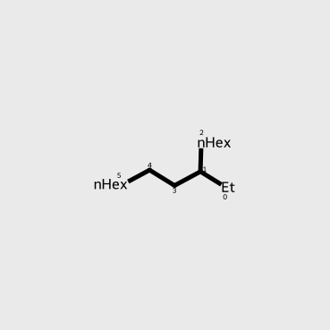 [C]CC(CCCCCC)CCCCCCCC